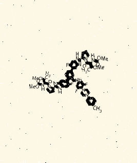 COC(=O)N[C@H](C(=O)N1CCC[C@H]1c1nc2cc(-c3ccc(-c4cc5nc([C@@H]6CCCN6C(=O)[C@@H](NC(=O)OC)C(C)OC)[nH]c5cc4F)c(CNc4cc(F)c(N5CCN(c6ccc(C)cc6)CC5)c(F)c4)c3)c(F)cc2[nH]1)C(C)OC